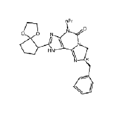 CCCN1C(=O)N2C[C@@H](Cc3ccccc3)N=C2c2[nH]c(C3CCCC34OCCO4)nc21